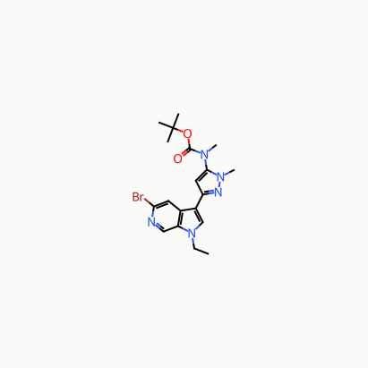 CCn1cc(-c2cc(N(C)C(=O)OC(C)(C)C)n(C)n2)c2cc(Br)ncc21